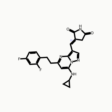 O=C1C/C(=C\c2cnn3c(NC4CC4)cc(CCc4ccc(F)cc4F)nc23)C(=O)N1